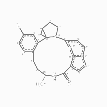 C[C@@H]1CCc2ncc(F)cc2C23CC2CCN3c2ccn3ncc(c3n2)C(=O)N1